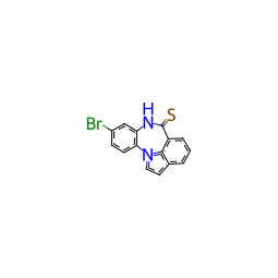 S=C1Nc2cc(Br)ccc2-n2ccc3cccc1c32